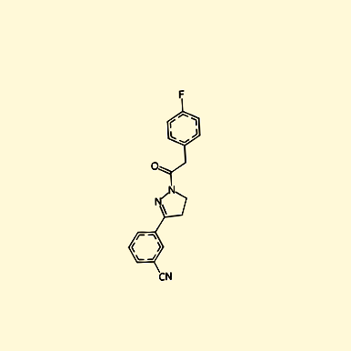 N#Cc1cccc(C2=NN(C(=O)Cc3ccc(F)cc3)CC2)c1